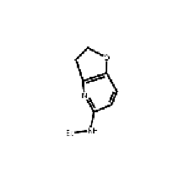 CCNc1ccc2c(n1)CCO2